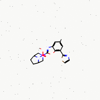 CC(C)(C)OC(=O)N1C2CCC1CN(c1nc3cc(C=O)cc(-c4nccs4)c3o1)C2